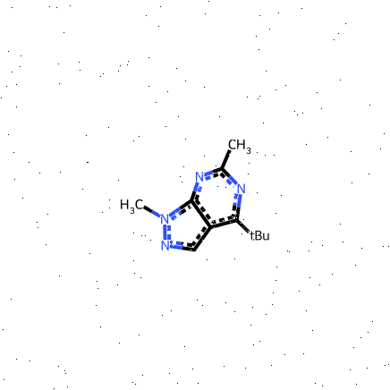 Cc1nc(C(C)(C)C)c2cnn(C)c2n1